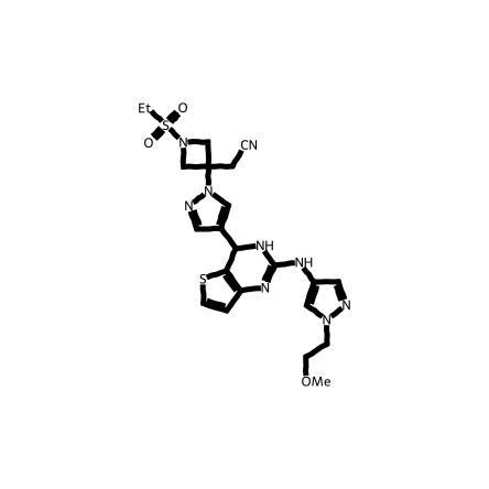 CCS(=O)(=O)N1CC(CC#N)(n2cc(C3NC(Nc4cnn(CCOC)c4)=Nc4ccsc43)cn2)C1